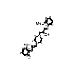 CO/C(CN1CCN(CC(O)COc2ccccc2OC)CC1)=N\c1c(C)cccc1C